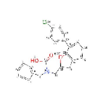 O=C(O)N(Cc1ccccc1)CC1Cc2cccc(-c3ccc(Cl)cc3)c2O1